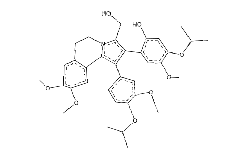 COc1cc2c(cc1OC)-c1c(-c3ccc(OC(C)C)c(OC)c3)c(-c3cc(OC)c(OC(C)C)cc3O)c(CO)n1CC2